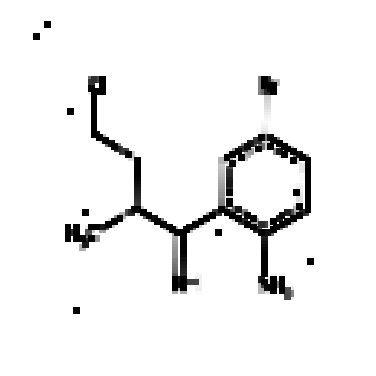 CC(CCCl)C(=N)c1cc(Br)ccc1N